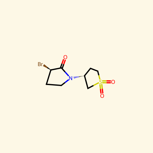 O=C1[C@H](Br)CCN1[C@@H]1CCS(=O)(=O)C1